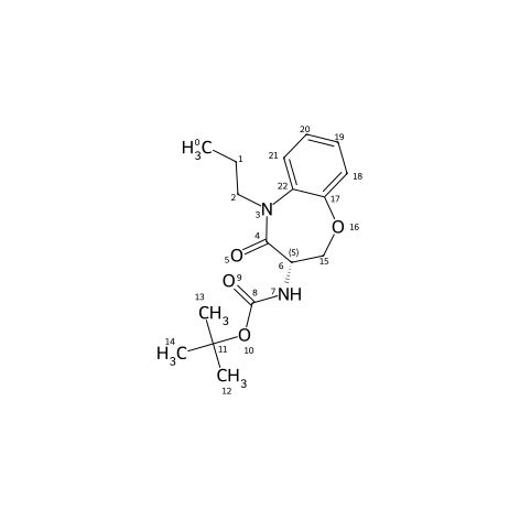 CCCN1C(=O)[C@@H](NC(=O)OC(C)(C)C)COc2ccccc21